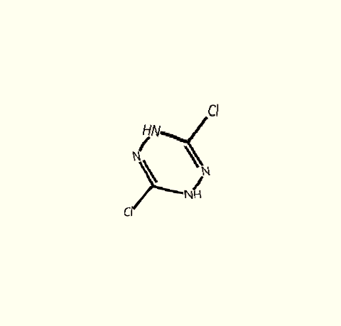 ClC1=NNC(Cl)=NN1